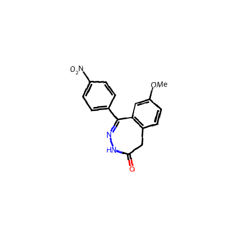 COc1ccc2c(c1)C(c1ccc([N+](=O)[O-])cc1)=NNC(=O)C2